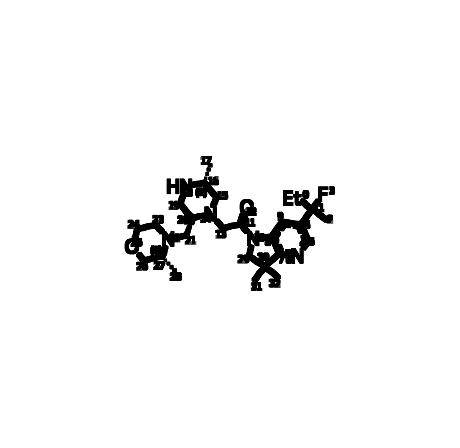 CCC(C)(F)c1cnc2c(c1)N(C(=O)CN1C[C@@H](C)NC[C@@H]1CN1CCOC[C@H]1C)CC2(C)C